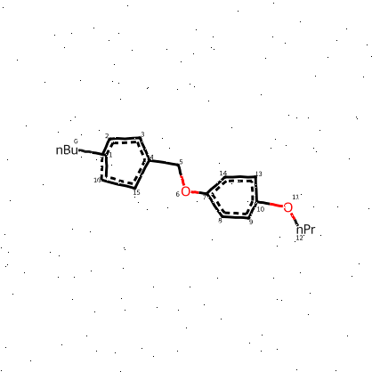 CCCCc1ccc(COc2ccc(OCCC)cc2)cc1